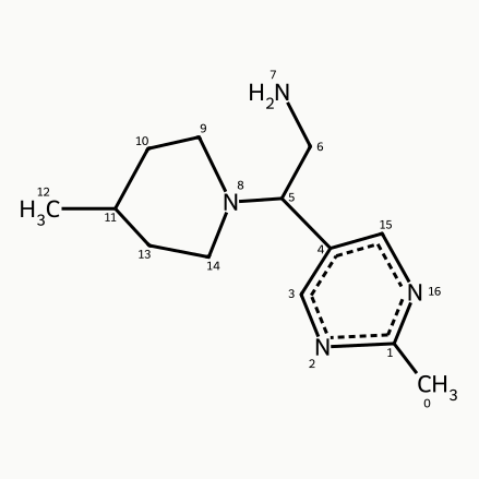 Cc1ncc(C(CN)N2CCC(C)CC2)cn1